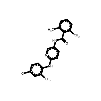 Cc1cc(Cl)ccc1Nc1ccc(NC(=O)c2c(C)cccc2C)cn1